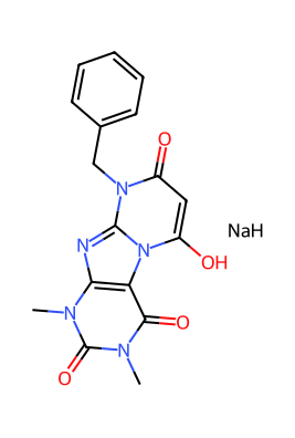 Cn1c(=O)c2c(nc3n(Cc4ccccc4)c(=O)cc(O)n23)n(C)c1=O.[NaH]